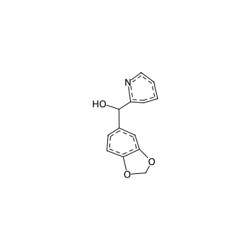 OC(c1ccc2c(c1)OCO2)c1ccccn1